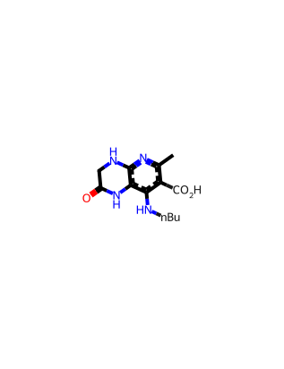 CCCCNc1c2c(nc(C)c1C(=O)O)NCC(=O)N2